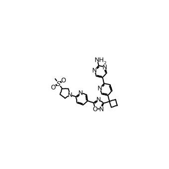 CS(=O)(=O)C1CCN(c2ccc(-c3nc(C4(c5ccc(-c6cnc(N)nc6)nc5)CCC4)no3)cn2)C1